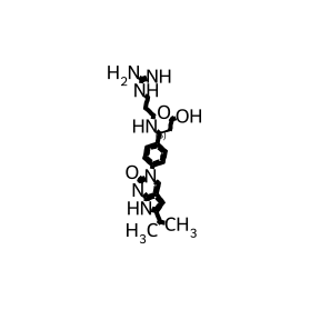 CC(C)c1cc2cn(-c3ccc([C@H](CC(=O)O)NCCCNC(=N)N)cc3)c(=O)nc2[nH]1